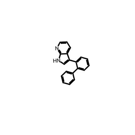 c1ccc(-c2ccccc2-c2c[nH]c3ncccc23)cc1